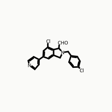 O=CC1c2c(Cl)cc(-c3ccncc3)cc2CN1Cc1ccc(Cl)cc1